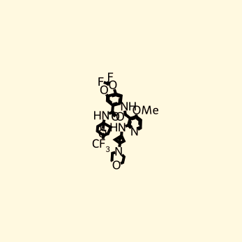 COc1ccnc(NC23CC(N4CCOCC4)(C2)C3)c1C(=O)Nc1cc2c(cc1C(=O)NC13CCC(C(F)(F)F)(CC1)OC3)OC(F)(F)O2